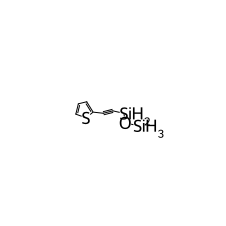 [SiH3]O[SiH2]C#Cc1cccs1